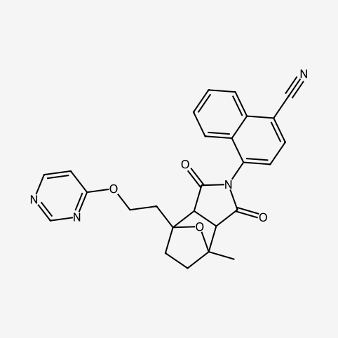 CC12CCC(CCOc3ccncn3)(O1)C1C(=O)N(c3ccc(C#N)c4ccccc34)C(=O)C12